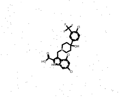 O=C(O)c1[nH]c2cc(Cl)cc(Cl)c2c1CN1CCC(O)(c2ccc(Cl)c(C(F)(F)F)c2)CC1